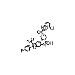 CNC(=O)c1c(-c2ccc(F)cc2)oc2cc(N(C)SO)c([C@H]3CCCN(C(=O)c4cn5c(Cl)cccc5n4)C3)cc12